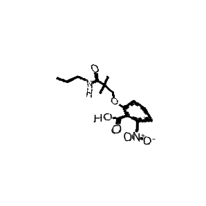 CCCNC(=O)C(C)(C)COc1cccc([N+](=O)[O-])c1C(=O)O